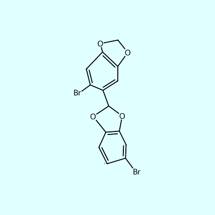 Brc1[c]cc2c(c1)OC(c1cc3c(cc1Br)OCO3)O2